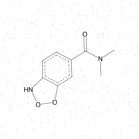 CN(C)C(=O)c1ccc2c(c1)OON2